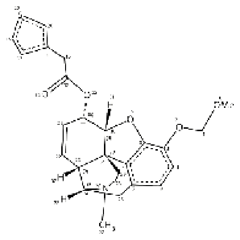 COCOc1ccc2c3c1O[C@H]1[C@@H](OC(=O)Cc4ccsc4)C=C[C@H]4[C@@H](C2)N(C)CC[C@@]341